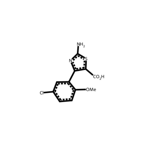 COc1ccc(Cl)cc1-c1nc(N)sc1C(=O)O